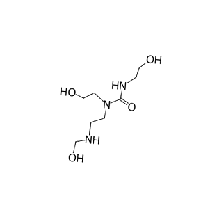 O=C(NCCO)N(CCO)CCNCO